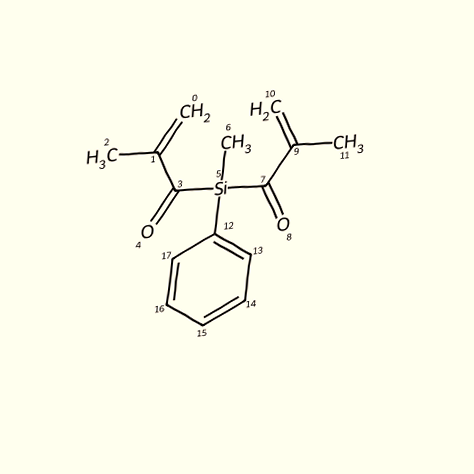 C=C(C)C(=O)[Si](C)(C(=O)C(=C)C)c1ccccc1